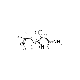 CC1(C)CN(c2ncc(N)cc2Cl)CCO1